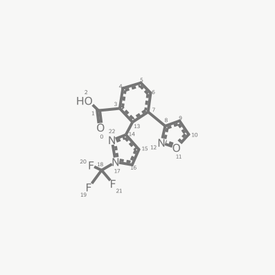 O=C(O)c1cccc(-c2ccon2)c1-c1ccn(C(F)(F)F)n1